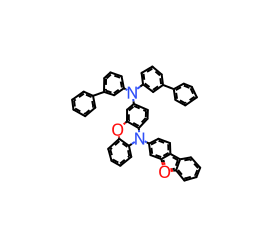 c1ccc(-c2cccc(N(c3cccc(-c4ccccc4)c3)c3ccc4c(c3)Oc3ccccc3N4c3ccc4c(c3)oc3ccccc34)c2)cc1